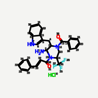 Cl.NC1C(Cc2c[nH]c3ccccc23)N(C(=O)c2ccccc2)CC(C(F)(F)F)N1C(=O)C=Cc1ccccc1